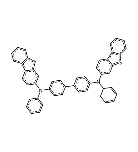 C1=CCC(N(c2ccc(-c3ccc(N(c4ccccc4)c4ccc5c(c4)sc4ccccc45)cc3)cc2)c2ccc3c(c2)sc2ccccc23)C=C1